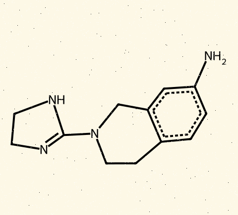 Nc1ccc2c(c1)CN(C1=NCCN1)CC2